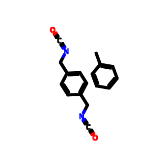 Cc1ccccc1.O=C=NCc1ccc(CN=C=O)cc1